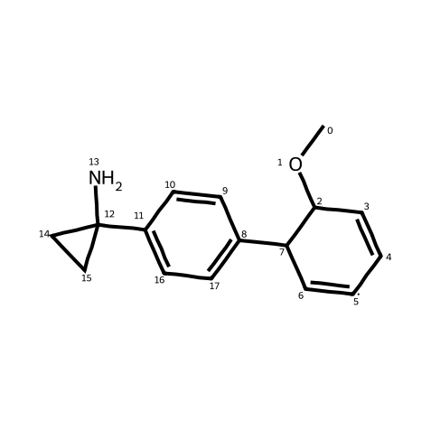 COC1C=C[C]=CC1c1ccc(C2(N)CC2)cc1